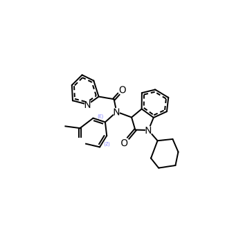 C=C(C)/C=C(\C=C/C)N(C(=O)c1ccccn1)C1C(=O)N(C2CCCCC2)c2ccccc21